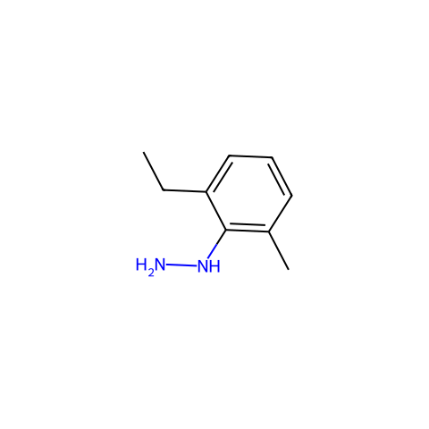 CCc1cccc(C)c1NN